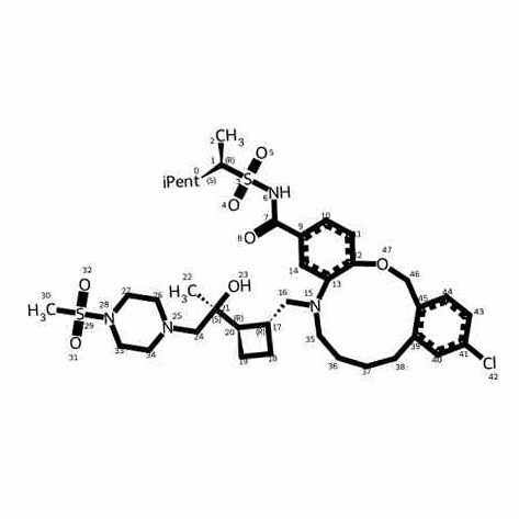 CCC[C@H](C)[C@@H](C)S(=O)(=O)NC(=O)c1ccc2c(c1)N(C[C@@H]1CC[C@H]1[C@](C)(O)CN1CCN(S(C)(=O)=O)CC1)CCCCc1cc(Cl)ccc1CO2